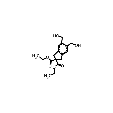 CCOC(=O)C1(C(=O)OCC)Cc2cc(CO)c(CO)cc2C1